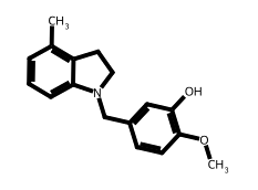 COc1ccc(CN2CCc3c(C)cccc32)cc1O